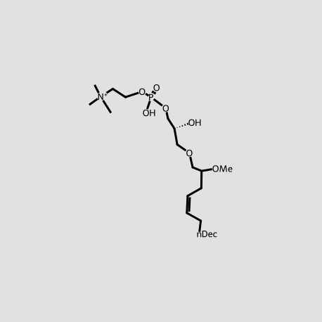 CCCCCCCCCCC/C=C\CC(COC[C@@H](O)COP(=O)(O)OCC[N+](C)(C)C)OC